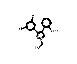 O=Cc1ccccc1-c1cn(CO)nc1-c1cc(Cl)cc(Cl)c1